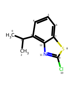 CC(C)c1cccc2sc(Cl)nc12